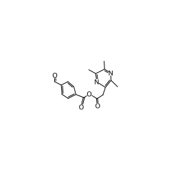 Cc1nc(C)c(CC(=O)OC(=O)c2ccc(C=O)cc2)nc1C